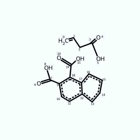 C=CCC(=O)O.O=C(O)c1ccc2ccccc2c1C(=O)O